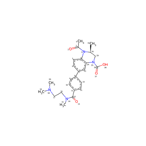 CC(=O)N1c2ccc(-c3ccc(C(=O)N(C)CCN(C)C)cc3)cc2N(C(=O)O)C[C@@H]1C